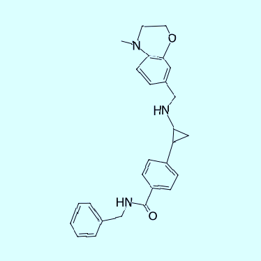 CN1CCOc2cc(CNC3CC3c3ccc(C(=O)NCc4ccccc4)cc3)ccc21